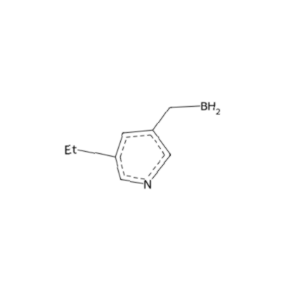 BCc1cncc(CC)c1